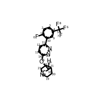 Fc1ccc(C(F)(F)F)cc1-c1ccc(O[C@H]2CN3CCC2CC3)nn1